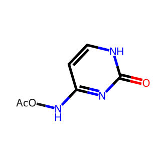 CC(=O)ONc1cc[nH]c(=O)n1